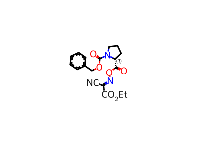 CCOC(=O)C(C#N)=NOC(=O)[C@H]1CCCN1C(=O)OCc1ccccc1